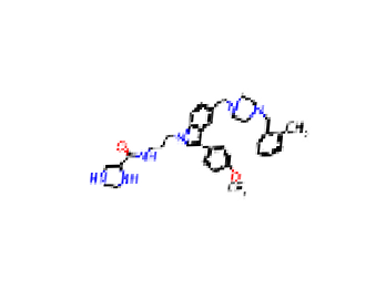 Cc1ccccc1CN1CCN(Cc2ccc3c(c2)c(-c2ccc(OC(F)(F)F)cc2)cn3CCCNC(=O)C2CNCCN2)CC1